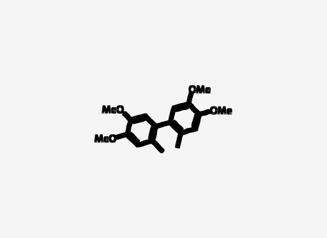 COc1cc(C)c(-c2cc(OC)c(OC)cc2C)cc1OC